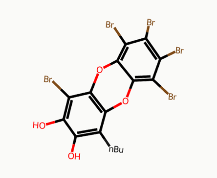 CCCCc1c(O)c(O)c(Br)c2c1Oc1c(Br)c(Br)c(Br)c(Br)c1O2